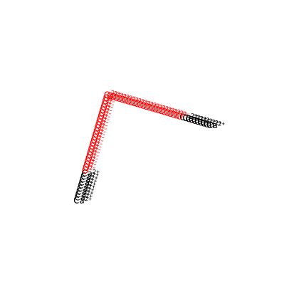 [Ca+2].[Ca+2].[Ca+2].[Ca+2].[Ca+2].[Ca+2].[Ca+2].[Ca+2].[Ca+2].[Ca+2].[Ca+2].[Ca+2].[Ca+2].[Ca+2].[Ca+2].[Ca+2].[Ca+2].[Ca+2].[Ca+2].[Ca+2].[O-2].[O-2].[O-2].[O-2].[O-2].[O-2].[O-2].[O-2].[O-2].[O-2].[O-2].[O-2].[O-2].[O-2].[O-2].[O-2].[O-2].[O-2].[O-2].[O-2].[O-2].[O-2].[O-2].[O-2].[O-2].[O-2].[O-2].[O-2].[O-2].[O-2].[O-2].[O-2].[O-2].[O-2].[O-2].[O-2].[O-2].[O-2].[O-2].[O-2].[O-2].[O-2].[O-2].[O-2].[O-2].[O-2].[O-2].[O-2].[O-2].[O-2]